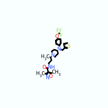 Cc1noc(C)c1C(=O)NCC[C@@H](C)N1CCC(N(Cc2ccsc2)c2ccc(OC(F)(F)F)cc2)CC1